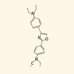 CCN(CC)c1ccc(-c2coc(-c3ccc(N(CC)CC)cc3)n2)cc1